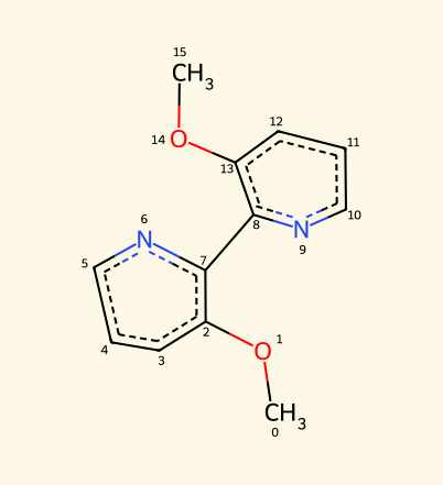 COc1cccnc1-c1ncccc1OC